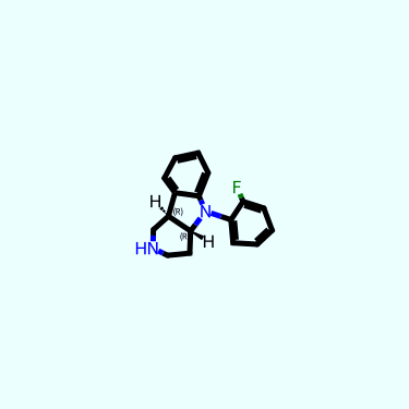 Fc1ccccc1N1c2ccccc2[C@@H]2CNCC[C@H]21